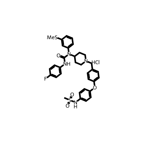 CSc1cccc(N(C(=O)Nc2ccc(F)cc2)C2CCN(Cc3ccc(Oc4ccc(NS(C)(=O)=O)cc4)cc3)CC2)c1.Cl